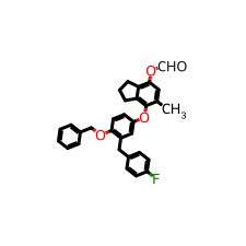 Cc1cc(OC=O)c2c(c1Oc1ccc(OCc3ccccc3)c(Cc3ccc(F)cc3)c1)CCC2